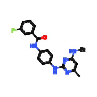 CCNc1cc(C)nc(Nc2ccc(NC(=O)c3cccc(F)c3)cc2)n1